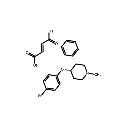 CN1CC[C@H](Oc2ccc(Br)cc2)[C@H](c2ccccc2)C1.O=C(O)C=CC(=O)O